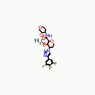 COC1C(C(=O)N[C@@H]2CCOC[C@H]2O)OCCC1n1cc(-c2cc(F)c(F)c(F)c2)nn1